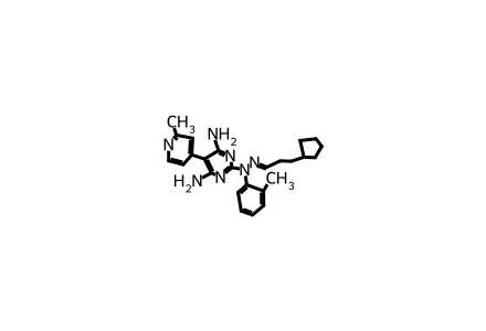 Cc1cc(-c2c(N)nc(N(/N=C/CCC3CCCC3)c3ccccc3C)nc2N)ccn1